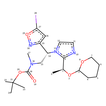 C[C@H](OC1CCCCO1)c1nccn1[C@H](CN(C)C(=O)OC(C)(C)C)c1cc(I)on1